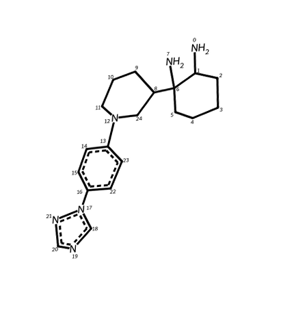 NC1CCCCC1(N)C1CCCN(c2ccc(-n3cncn3)cc2)C1